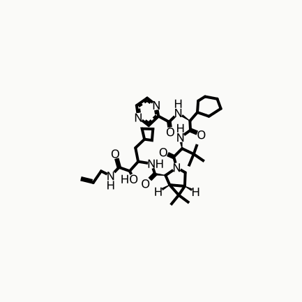 C=CCNC(=O)C(O)C(CC1CCC1)NC(=O)[C@@H]1[C@@H]2[C@H](CN1C(=O)[C@@H](NC(=O)[C@@H](NC(=O)c1cnccn1)C1CCCCC1)C(C)(C)C)C2(C)C